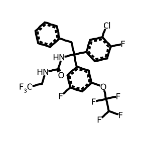 O=C(NCC(F)(F)F)NC(Cc1ccccc1)(c1cc(F)cc(OC(F)(F)C(F)F)c1)c1ccc(F)c(Cl)c1